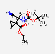 CCOC(=O)C1(C(C)(C#N)NC(=O)OC(C)(C)C)CC1